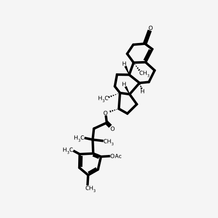 CC(=O)Oc1cc(C)cc(C)c1C(C)(C)CC(=O)O[C@H]1CC[C@H]2[C@@H]3CCC4=CC(=O)CC[C@]4(C)[C@H]3CC[C@]12C